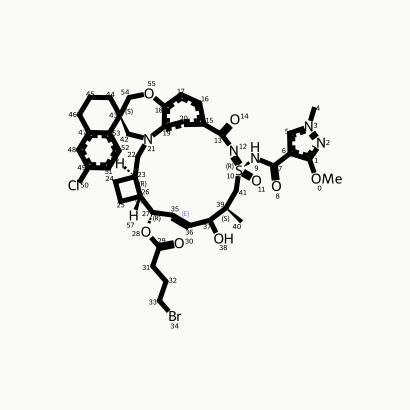 COc1nn(C)cc1C(=O)N[S@@]1(=O)=NC(=O)c2ccc3c(c2)N(C[C@@H]2CC[C@H]2[C@@H](OC(=O)CCCBr)/C=C/C(O)[C@H](C)C1)C[C@@]1(CCCc2cc(Cl)ccc21)CO3